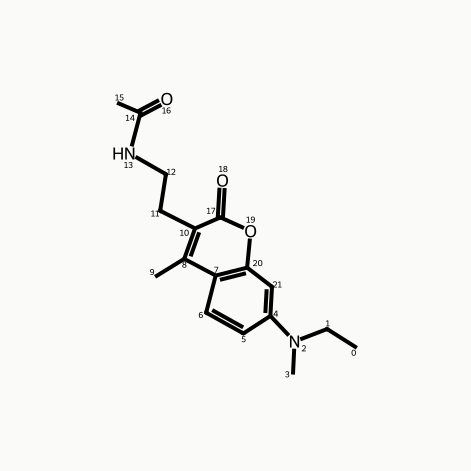 CCN(C)c1ccc2c(C)c(CCNC(C)=O)c(=O)oc2c1